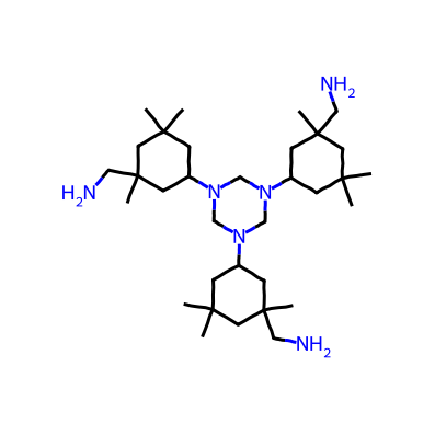 CC1(C)CC(N2CN(C3CC(C)(C)CC(C)(CN)C3)CN(C3CC(C)(C)CC(C)(CN)C3)C2)CC(C)(CN)C1